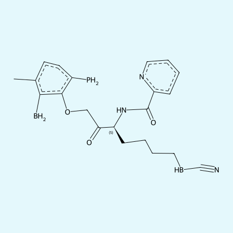 Bc1c(C)ccc(P)c1OCC(=O)[C@H](CCCCBC#N)NC(=O)c1ccccn1